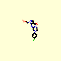 COCCn1ncc2c(=O)n3c(nc21)CN(c1ccc(Cl)cc1)CC3